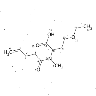 C=CCCC(=O)N(C)C(CCOCC)C(=O)O